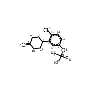 O=C1CCC(c2cc(OC(F)(F)F)ccc2Cl)CC1